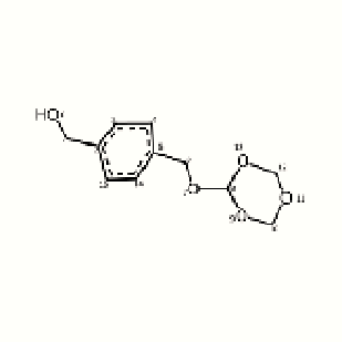 OCc1ccc(COC2OCOCO2)cc1